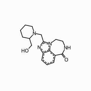 O=C1NCCn2c(CN3CCCCC3CO)nc3cccc1c32